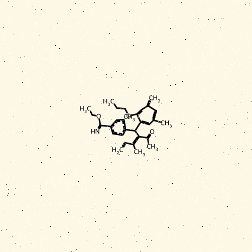 C=C/C(C)=C(/C(C)=O)C(C1=CC(C)=CC(=C)C=C1OCCC)c1ccc(C(=N)OCC)cc1C